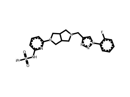 CC(C)S(=O)(=O)Nc1cccc(N2CC3CN(Cc4cn(-c5ccccc5F)nn4)CC3C2)n1